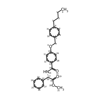 CCCCc1ccc(COc2ccc(C(=O)N[C@H](C(=O)OC)c3ccccc3)cc2)cc1